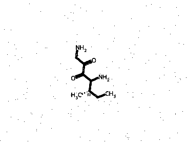 CC[C@H](C)C(N)C(=O)C(=O)CN